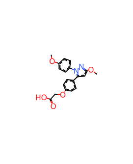 COc1ccc(-n2nc(OC)cc2-c2ccc(OCC(=O)O)cc2)cc1